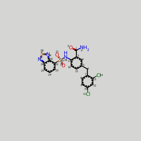 NC(=O)c1cc(Cc2ccc(Cl)cc2Cl)ccc1NS(=O)(=O)c1cccc2nsnc12